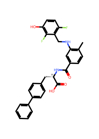 Cc1ccc(C(=O)N[C@@H](Cc2ccc(-c3ccccc3)cc2)C(=O)O)cc1NCc1c(F)ccc(O)c1F